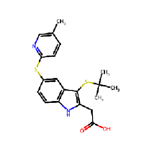 Cc1ccc(Sc2ccc3[nH]c(CC(=O)O)c(SC(C)(C)C)c3c2)nc1